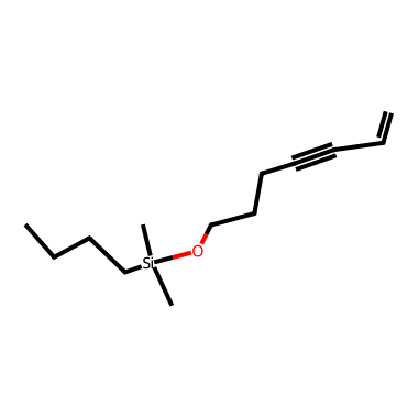 C=CC#CCCCO[Si](C)(C)CCCC